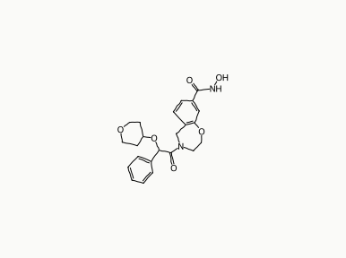 O=C(NO)c1ccc2c(c1)OCCN(C(=O)C(OC1CCOCC1)c1ccccc1)C2